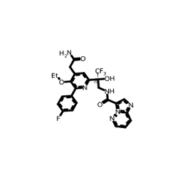 CCOc1c(CC(N)=O)cc([C@@](O)(CNC(=O)c2cnc3cccnn23)C(F)(F)F)nc1-c1ccc(F)cc1